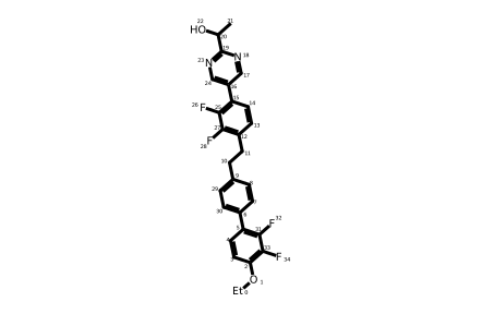 CCOc1ccc(-c2ccc(CCc3ccc(-c4cnc(C(C)O)nc4)c(F)c3F)cc2)c(F)c1F